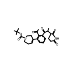 CC(=O)c1c(C(=O)C(C)C2CCC(=O)NC2=O)cccc1C1=CCCN(C(=O)OC(C)(C)C)CC1